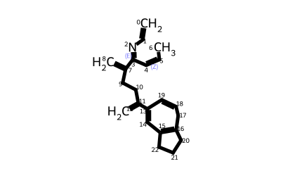 C=C/N=C(\C=C/C)C(=C)CCC(=C)C1=CC2=C(CC=C1)CCC2